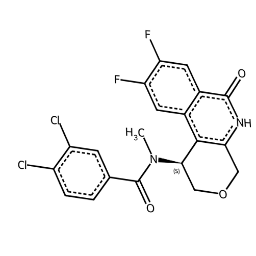 CN(C(=O)c1ccc(Cl)c(Cl)c1)[C@@H]1COCc2[nH]c(=O)c3cc(F)c(F)cc3c21